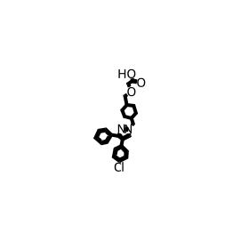 O=C(O)COCC1CCC(Cn2cc(-c3ccc(Cl)cc3)c(-c3ccccc3)n2)CC1